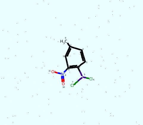 Cc1ccc(I(Cl)Cl)c([N+](=O)[O-])c1